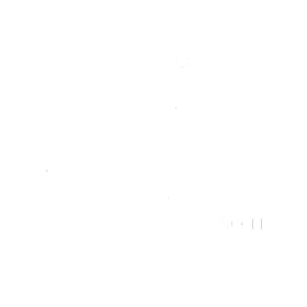 C[C@]1(S(=O)(=O)O)CC(=O)c2ccccc2C1=O